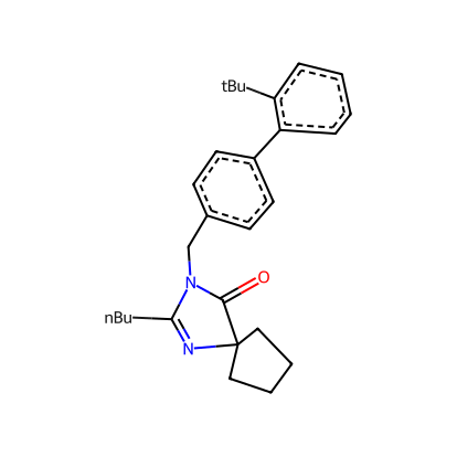 CCCCC1=NC2(CCCC2)C(=O)N1Cc1ccc(-c2ccccc2C(C)(C)C)cc1